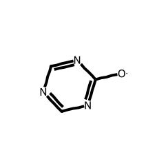 [O]c1ncncn1